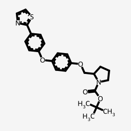 CC(C)(C)OC(=O)N1CCCC1COc1ccc(Oc2ccc(-c3nccs3)cc2)cc1